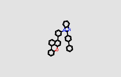 c1ccc(-c2ccc(-c3nc4ccccc4n3-c3cccc(-c4ccc5c6c(cccc46)-c4ccccc4O5)c3)cc2)cc1